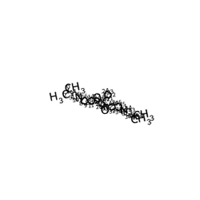 CC(C)C1CCN(c2ccc3cc4c(cc3c2)oc2c(-c3ccccc3)c3c(cc24)oc2cc4cc(N5CCC(C(C)C)CC5)ccc4cc23)CC1